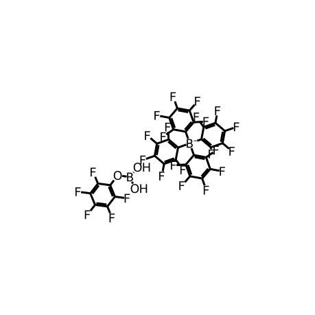 Fc1c(F)c(F)c([B-](c2c(F)c(F)c(F)c(F)c2F)(c2c(F)c(F)c(F)c(F)c2F)c2c(F)c(F)c(F)c(F)c2F)c(F)c1F.OB(O)Oc1c(F)c(F)c(F)c(F)c1F